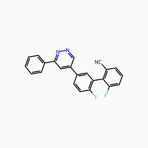 N#Cc1cccc(F)c1-c1cc(-c2cnnc(-c3ccccc3)c2)ccc1F